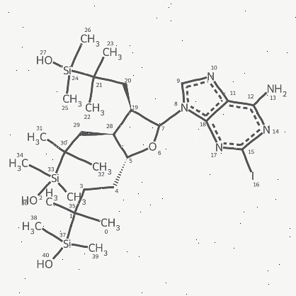 CC(C)(CC[C@H]1OC(n2cnc3c(N)nc(I)nc32)[C@H](CC(C)(C)[Si](C)(C)O)[C@@H]1CC(C)(C)[Si](C)(C)O)[Si](C)(C)O